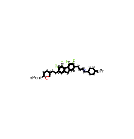 CCCCCC1CCC(CCc2cc3c(c(F)c2F)-c2c(cc(CC/C=C/C4CCC(CCC)CC4)c(F)c2F)C3)CO1